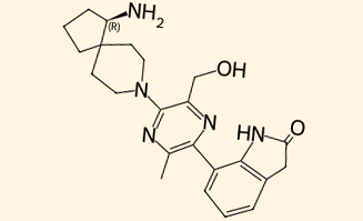 Cc1nc(N2CCC3(CCC[C@H]3N)CC2)c(CO)nc1-c1cccc2c1NC(=O)C2